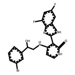 O=c1[nH]ccc(NCC(O)c2cccc(Br)c2)c1-c1nc2c(F)cc(F)cc2[nH]1